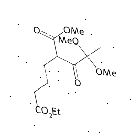 CCOC(=O)CCCC(C(=O)OC)C(=O)C(C)(OC)OC